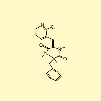 CN1C(=O)C(C)(Cc2ccccc2)N(C)C(=O)/C1=C\c1cccnc1Cl